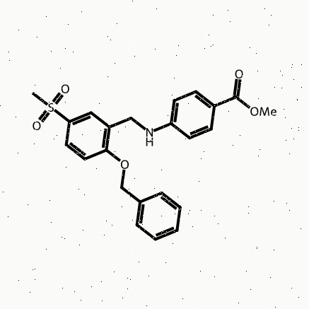 COC(=O)c1ccc(NCc2cc(S(C)(=O)=O)ccc2OCc2ccccc2)cc1